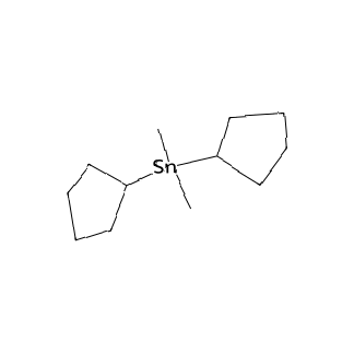 [CH3][Sn]([CH3])([CH]1CCCC1)[CH]1CCCC1